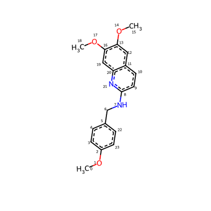 COc1ccc(CNc2ccc3cc(OC)c(OC)cc3n2)cc1